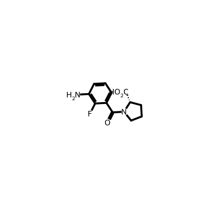 Nc1cccc(C(=O)N2CCC[C@H]2C(=O)O)c1F